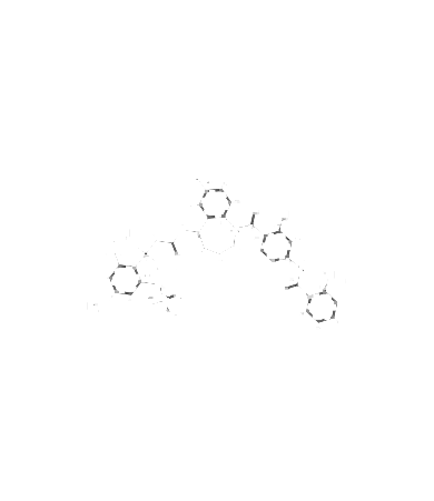 Cc1cc(C)c(C(C)(C)CC(=O)OC2CCCN(C(=O)c3ccc(NC(=O)c4ccccc4C)cc3C)c3ccc(Cl)cc32)c(OP(=O)(O)O)c1